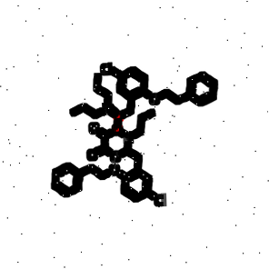 CCCN(CCC)C(Cc1cc(Cl)ccc1OCCc1ccccc1)OC(=O)C(=O)OC(Cc1cc(Cl)ccc1OCCc1ccccc1)N(CCC)CCC